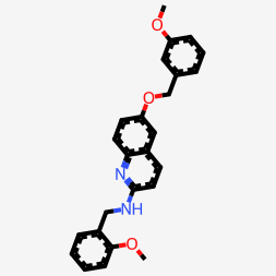 COc1cccc(COc2ccc3nc(NCc4ccccc4OC)ccc3c2)c1